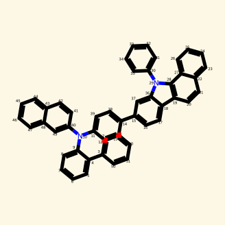 c1ccc(-c2ccccc2N(c2ccc(-c3ccc4c5ccc6ccccc6c5n(-c5ccccc5)c4c3)cc2)c2ccc3ccccc3c2)cc1